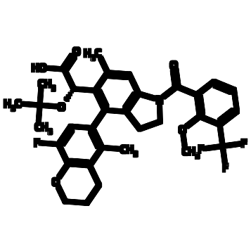 COc1c(C(=O)N2CCc3c2cc(C)c([C@H](OC(C)(C)C)C(=O)O)c3-c2cc(F)c3c(c2C)CCCO3)cccc1C(F)(F)F